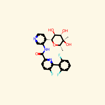 C[C@@H]1O[C@H](c2ccncc2NC(=O)c2ccc(F)c(-c3c(F)cccc3F)n2)[C@@H](O)[C@H](O)[C@@]1(C)O